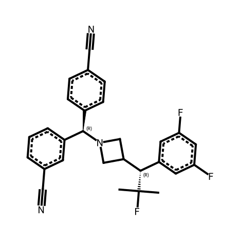 CC(C)(F)[C@@H](c1cc(F)cc(F)c1)C1CN([C@H](c2ccc(C#N)cc2)c2cccc(C#N)c2)C1